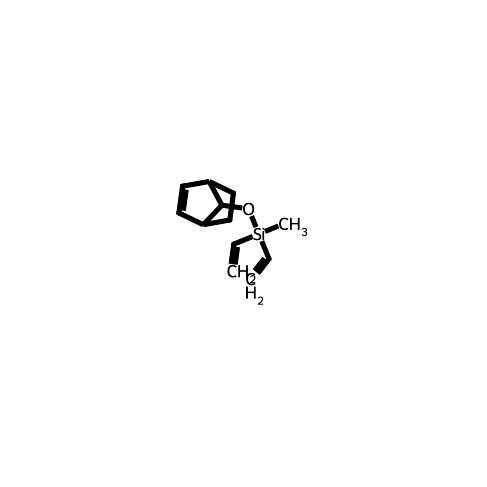 C=C[Si](C)(C=C)OC1C2C=CC1CC2